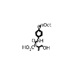 CCCCCCCCOc1ccc(NC(=O)N(C(=O)O)C(C)CO)cc1